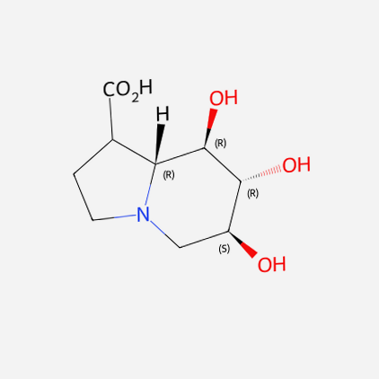 O=C(O)C1CCN2C[C@H](O)[C@@H](O)[C@H](O)[C@@H]12